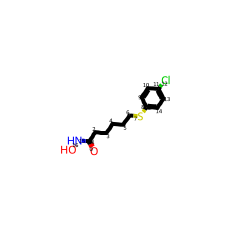 O=C(CCCCCSc1ccc(Cl)cc1)NO